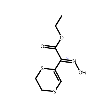 CCOC(=O)/C(=N/O)C1=CSCCS1